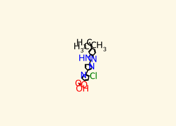 CC(C)(C)c1ccc2nc(-c3ccc(-c4ncc(OC(=O)O)cc4Cl)cn3)[nH]c2c1